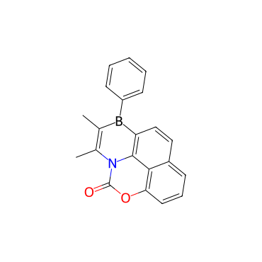 CC1=C(C)N2C(=O)Oc3cccc4ccc(c2c34)B1c1ccccc1